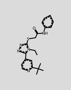 CCn1c(SCC(=O)Nc2ccccc2)nnc1-c1ccnc(C(C)(C)C)c1